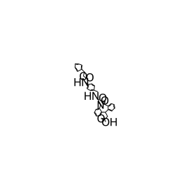 O=C(O)CC1c2ccccc2C(=O)N(CC(=O)NCc2ccc(NC(=O)OCc3ccccc3)cc2)c2ccccc21